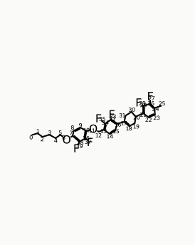 CCCCCCOc1ccc(OCc2ccc(C3=CCC(c4ccc(C)c(F)c4F)CC3)c(F)c2F)c(F)c1F